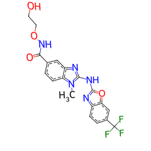 Cn1c(Nc2nc3ccc(C(F)(F)F)cc3o2)nc2cc(C(=O)NOCCO)ccc21